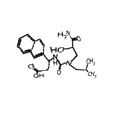 CC(C)CN(CC(O)C(N)=O)C(=O)NC(CC(=O)O)c1ccc2ccccc2c1